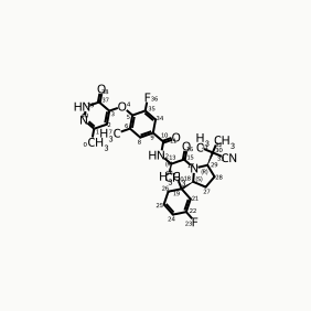 Cc1cc(Oc2c(C)cc(C(=O)N[C@H](C)C(=O)N3[C@H](C4(C)C=C(F)C=CC4)CC[C@@H]3C(C)(C)C#N)cc2F)c(=O)[nH]n1